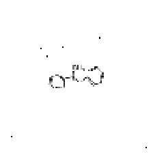 NN(Cc1ccccc1)c1ccccc1